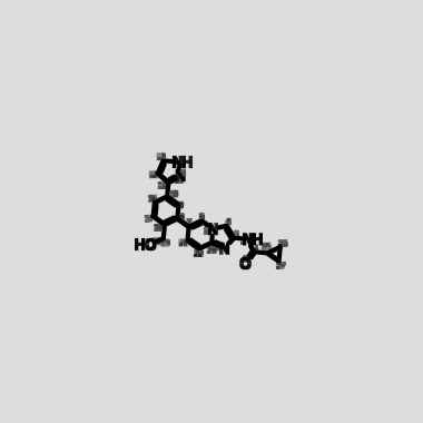 O=C(Nc1cn2cc(-c3cc(-c4cc[nH]n4)ccc3CO)ccc2n1)C1CC1